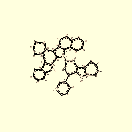 c1cncc(-c2nc(-n3c4c5ccccc5ccc4c4c5ccccc5c5c6ccccc6oc5c43)nc3c2oc2ccccc23)c1